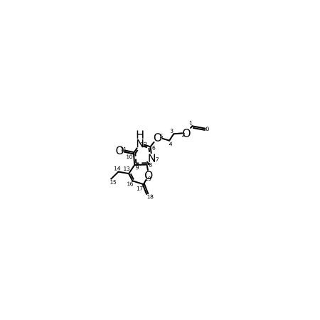 C=COCCOc1nc2c(c(=O)[nH]1)C(CC)=CC(=C)O2